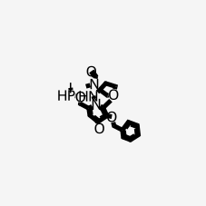 Cc1c(OCc2ccccc2)c(=O)cc(COPI)n1NC1(N(C)C=O)CCOC1